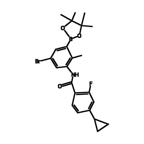 Cc1c(NC(=O)c2ccc(C3CC3)cc2F)cc(Br)cc1B1OC(C)(C)C(C)(C)O1